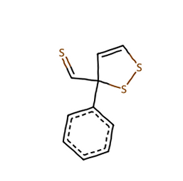 S=CC1(c2ccccc2)C=CSS1